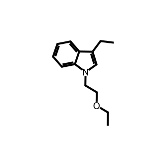 CCOCCn1cc(CC)c2ccccc21